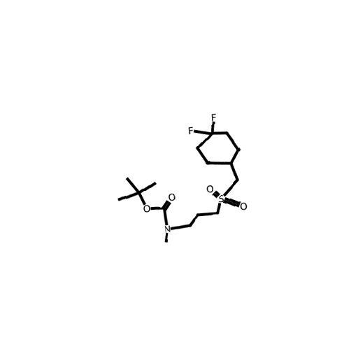 CN(CCCS(=O)(=O)CC1CCC(F)(F)CC1)C(=O)OC(C)(C)C